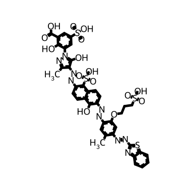 Cc1cc(N=Nc2ccc3c(S(=O)(=O)O)c(N=Nc4c(C)nn(-c5cc(S(=O)(=O)O)cc(C(=O)O)c5O)c4O)ccc3c2O)c(OCCCS(=O)(=O)O)cc1N=Nc1nc2ccccc2s1